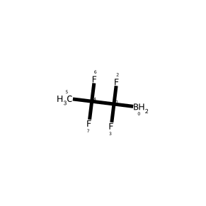 BC(F)(F)C(C)(F)F